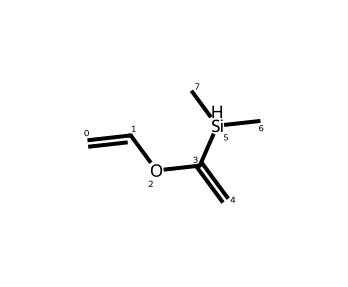 C=COC(=C)[SiH](C)C